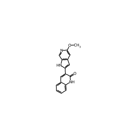 COc1cc2cc(-c3cc4ccccc4[nH]c3=O)[nH]c2cn1